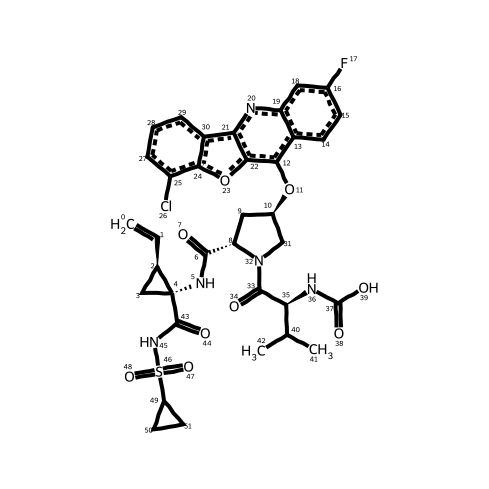 C=C[C@@H]1C[C@]1(NC(=O)[C@@H]1C[C@@H](Oc2c3ccc(F)cc3nc3c2oc2c(Cl)cccc23)CN1C(=O)[C@@H](NC(=O)O)C(C)C)C(=O)NS(=O)(=O)C1CC1